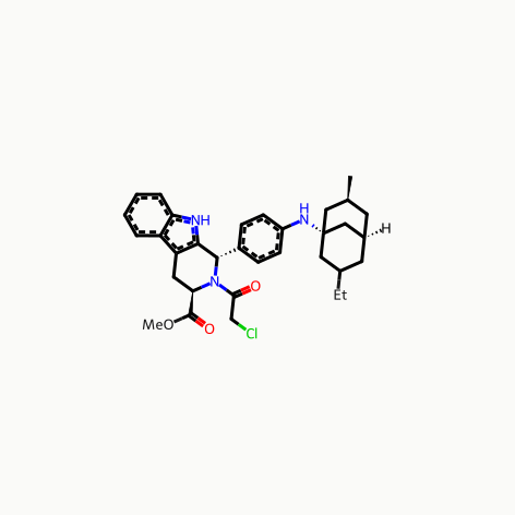 CCC1C[C@@H]2C[C@H](C)C[C@](Nc3ccc([C@H]4c5[nH]c6ccccc6c5C[C@H](C(=O)OC)N4C(=O)CCl)cc3)(C1)C2